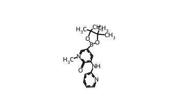 Cn1cc(B2OC(C)(C)C(C)(C)O2)cc(Nc2ccccn2)c1=O